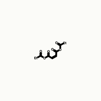 CCC(=O)OC(=O)/C=C\C(=O)OC(=O)CC